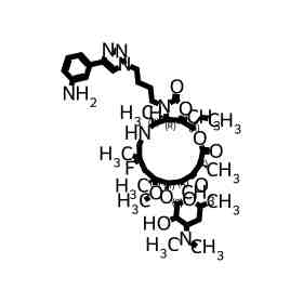 CC[C@H]1OC(=O)[C@H](C)C(=O)[C@H](C)[C@@H](O[C@@H]2OC(C)CC(N(C)C)C2O)[C@](C)(OC)CC(C)(F)CN[C@H](C)[C@H]2N(CCCCn3cc(-c4cccc(N)c4)nn3)C(=O)O[C@]12C